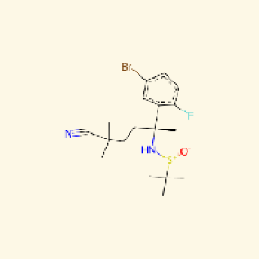 CC(C)(C#N)CC[C@@](C)(N[S@+]([O-])C(C)(C)C)c1cc(Br)ccc1F